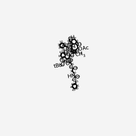 CC(=O)O[C@H]1C(=O)[C@]23CC2C[C@H]2OC[C@@]2(OC(C)=O)[C@H]3[C@H](OC(=O)c2ccccc2)[C@]2(O)C[C@H](OC(=O)[C@H](OC(=O)COC(=O)CCNC(=O)OCc3ccccc3)[C@@H](NC(=O)OC(C)(C)C)c3ccccc3)C(C)=C1C2(C)C